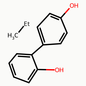 CCC.Oc1ccc(-c2ccccc2O)cc1